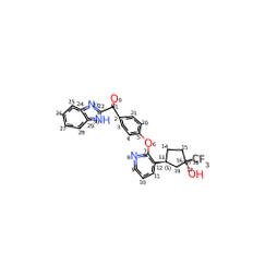 O=C(c1ccc(Oc2ncccc2[C@H]2CC[C@@](O)(C(F)(F)F)C2)cc1)c1nc2ccccc2[nH]1